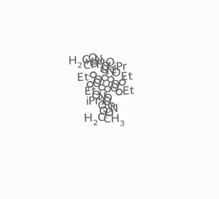 C=C(C)C(=O)Oc1cc(OC(=O)C(C(C)C)N2C(=O)c3cc(Oc4cccc(CC)c4)c4c5c(Oc6cccc(CC)c6)cc6c7c(cc(Oc8cccc(CC)c8)c(c8c(Oc9cccc(CC)c9)cc(c3c48)C2=O)c75)C(=O)N(C(C(=O)Oc2ccnc(OC(=O)C(=C)C)c2)C(C)C)C6=O)ccn1